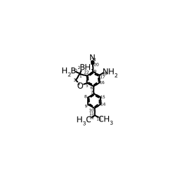 BC1(B)COc2c(-c3ccc(C(C)C)cc3)cc(N)c(C#N)c21